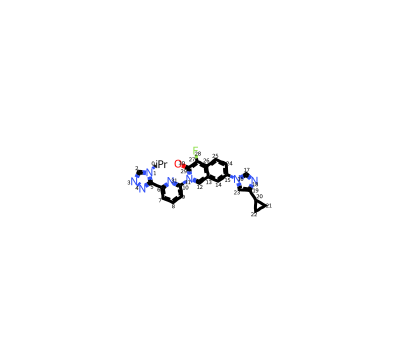 CC(C)n1cnnc1-c1cccc(-n2cc3cc(-n4cnc(C5CC5)c4)ccc3c(F)c2=O)n1